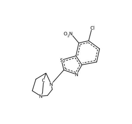 O=[N+]([O-])c1c(Cl)ccc2nc(N3CCN4CCC3CC4)sc12